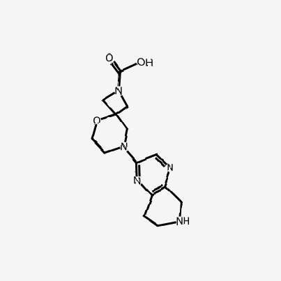 O=C(O)N1CC2(C1)CN(c1cnc3c(n1)CCNC3)CCO2